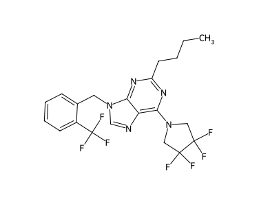 CCCCc1nc(N2CC(F)(F)C(F)(F)C2)c2ncn(Cc3ccccc3C(F)(F)F)c2n1